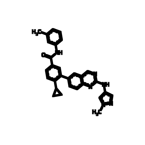 Cc1cccc(NC(=O)c2ccc(C3CC3)c(-c3ccc4nc(Nc5cnn(C)c5)ncc4c3)c2)c1